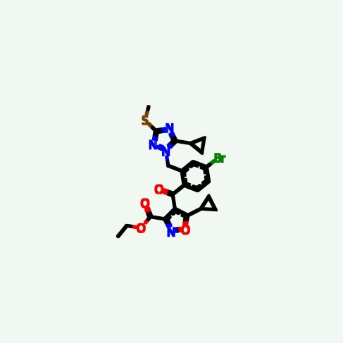 CCOC(=O)c1noc(C2CC2)c1C(=O)c1ccc(Br)cc1Cn1nc(SC)nc1C1CC1